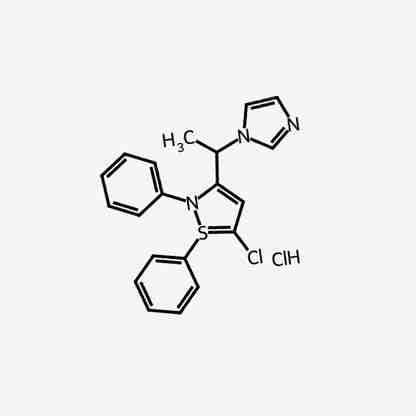 CC(C1=CC(Cl)=S(c2ccccc2)N1c1ccccc1)n1ccnc1.Cl